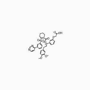 COc1ccc(CC[C@@H](OC(=O)[C@@H]2CCCCN2S(=O)(=O)c2cccc(-c3ccncn3)c2)c2cccc(OCC(=O)O)c2)cc1OC